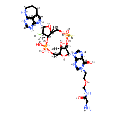 NCC(=O)NCOCCn1cnc2c(ncn2[C@@H]2O[C@@H]3COP(=O)(O)O[C@H]4[C@@H](F)[C@H](n5cc6c7c(ncnc75)NCCC6)O[C@@H]4COP(=O)(S)O[C@@H]2[C@@H]3O)c1=O